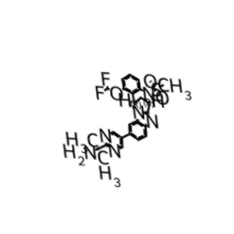 CC(C)(N)c1ncc(-c2ccc3nc4n(c3c2)[C@@H]2C[C@H]4N(S(C)(=O)=O)c3cccc(OC(F)F)c32)cn1